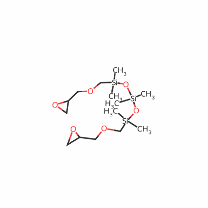 C[Si](C)(COCC1CO1)O[Si](C)(C)O[Si](C)(C)COCC1CO1